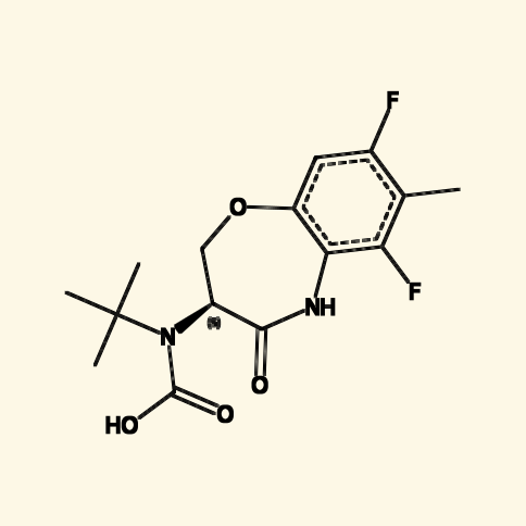 Cc1c(F)cc2c(c1F)NC(=O)[C@@H](N(C(=O)O)C(C)(C)C)CO2